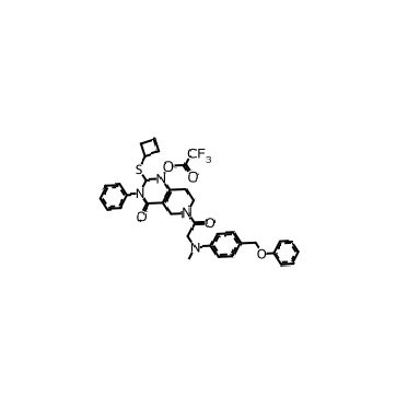 CN(CC(=O)N1CCC2=C(C1)C(=O)N(c1ccccc1)C(SC1CCC1)N2OC(=O)C(F)(F)F)c1ccc(COc2ccccc2)cc1